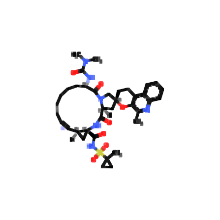 Cc1nc2ccccc2c2c1O[C@]1(CC2)C[C@H]2C(=O)N[C@]3(C(=O)NS(=O)(=O)C4(C)CC4)C[C@H]3/C=C\CCCCC[C@H](NC(=O)N(C)C)C(=O)N2C1